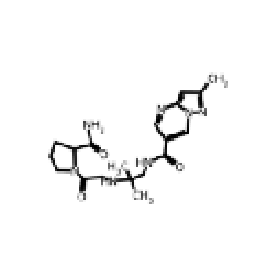 Cc1cc2ncc(C(=O)NCC(C)(C)NCC(=O)N3CCCC3C(N)=O)cn2n1